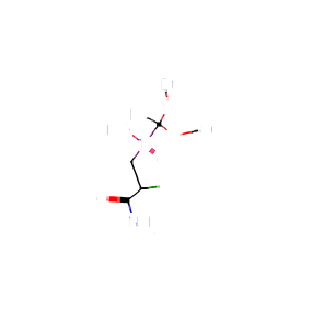 CCOC(CC)(OCC)P(=O)(O)CC(F)C(N)=O